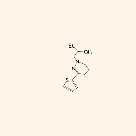 CCC(O)CN1CCCC(c2cccs2)=N1